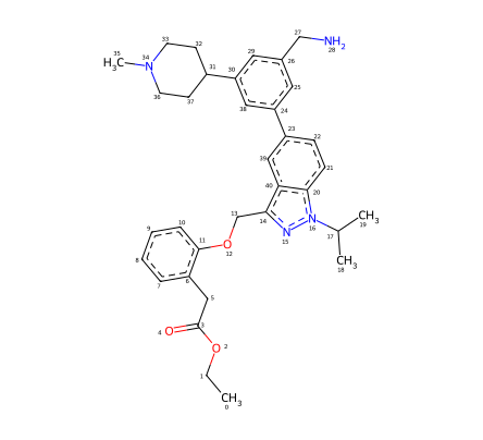 CCOC(=O)Cc1ccccc1OCc1nn(C(C)C)c2ccc(-c3cc(CN)cc(C4CCN(C)CC4)c3)cc12